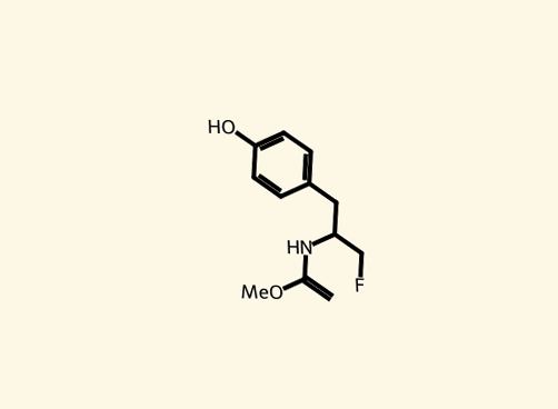 C=C(NC(CF)Cc1ccc(O)cc1)OC